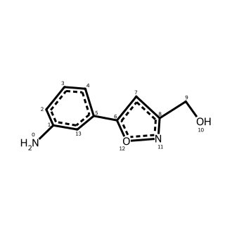 Nc1cccc(-c2cc(CO)no2)c1